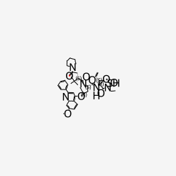 C=C[C@@H]1C[C@]1(NC(=O)[C@@H]1C[C@@H](Oc2cc(-c3ccccc3)nc3cc(OC)ccc23)CN1C(=O)[C@@H](CC(=O)N1CCCCC1)C(C)(C)C)C(=O)N(CC)[SH](=O)=O